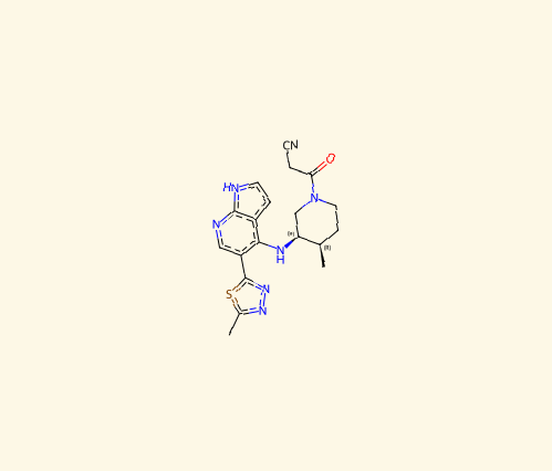 Cc1nnc(-c2cnc3[nH]ccc3c2N[C@H]2CN(C(=O)CC#N)CC[C@H]2C)s1